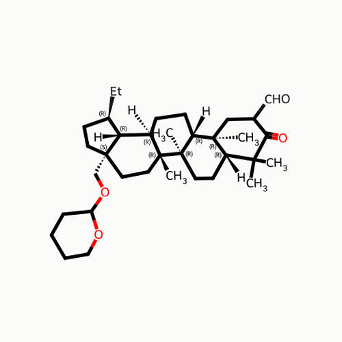 CC[C@@H]1CC[C@]2(COC3CCCCO3)CC[C@]3(C)[C@H](CC[C@@H]4[C@@]5(C)CC(C=O)C(=O)C(C)(C)[C@@H]5CC[C@]43C)[C@@H]12